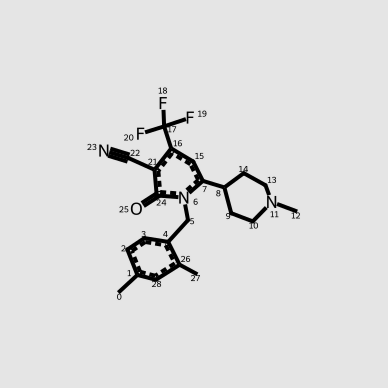 Cc1ccc(Cn2c(C3CCN(C)CC3)cc(C(F)(F)F)c(C#N)c2=O)c(C)c1